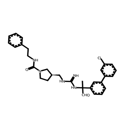 CC(C=O)(NC(=N)NC[C@H]1CCN(C(=O)NCCc2ccccc2)C1)c1cccc(-c2cccc(Cl)c2)c1